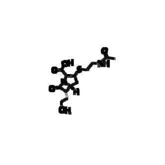 CC(=O)NCCSC1=C(C(=O)O)N2C(=O)[C@@H](CCO)[C@H]2C1